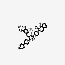 CNc1c(Cl)cc(CC(NC(=O)N2CCC(N3CCc4ccccc4NC3=O)CC2)C(=O)N2CCC(C3CCNCC3)CC2)cc1C(F)(F)F